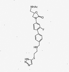 CC(=O)NCC1CN(c2ccc(-c3ccc(CNCCSc4cnn[nH]4)cc3)c(F)c2)C(=O)O1